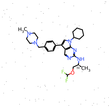 C[C@@H](COC(F)F)Nc1ncc2c(-c3ccc(CN4CCN(C)CC4)cc3)cn(C3CCCCC3)c2n1